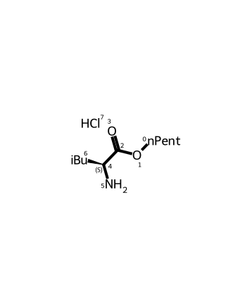 CCCCCOC(=O)[C@@H](N)C(C)CC.Cl